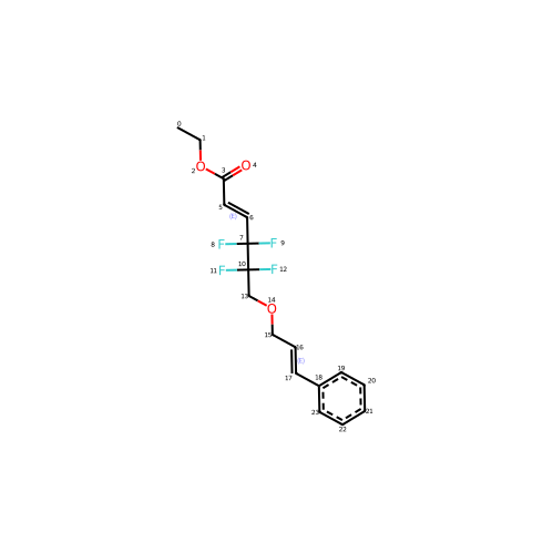 CCOC(=O)/C=C/C(F)(F)C(F)(F)COC/C=C/c1ccccc1